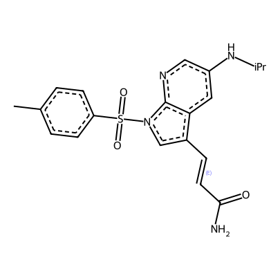 Cc1ccc(S(=O)(=O)n2cc(/C=C/C(N)=O)c3cc(NC(C)C)cnc32)cc1